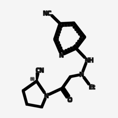 CCN(CC(=O)N1CCC[C@H]1C#N)Nc1ccc(C#N)cn1